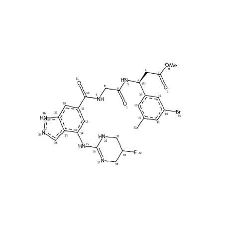 COC(=O)C[C@H](NC(=O)CNC(=O)c1cc(NC2=NCC(F)CN2)c2cn[nH]c2c1)c1cc(C)cc(Br)c1